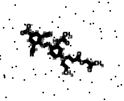 CCCN(CCC(=O)OCC(C)=O)c1ccc(N=Nc2c(C#N)cc([N+](=O)[O-])cc2C#N)c(NC(C)=O)c1